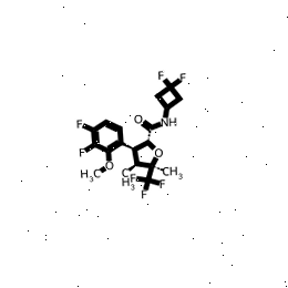 COc1c([C@H]2[C@H](C(=O)NC3CC(F)(F)C3)O[C@@](C)(C(F)(F)F)[C@H]2C)ccc(F)c1F